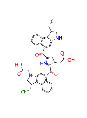 O=C(O)Cc1cc(C(=O)c2cc3c(c4ccccc24)C(CCl)CN3)[nH]c1C(=O)c1cc2c(c3ccccc13)[C@H](CCl)CN2CC(=O)O